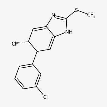 FC(F)(F)Sc1nc2c([nH]1)=CC(c1cccc(Cl)c1)[C@H](Cl)C=2